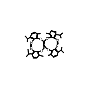 Cc1ccc(C(C)C)c2c1OCC1(COc3c(C)ccc(C(C)C)c3N=C=N2)COc2c(C)ccc(C(C)C)c2N=C=Nc2c(C(C)C)ccc(C)c2OC1